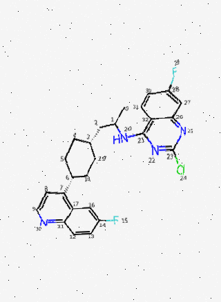 CC(C[C@H]1CC[C@@H](c2ccnc3ccc(F)cc32)CC1)Nc1nc(Cl)nc2cc(F)ccc12